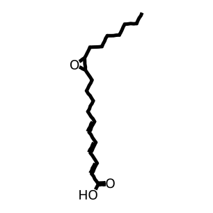 CCCCCCCC1OC1CCCCC=CC=CC=CC(=O)O